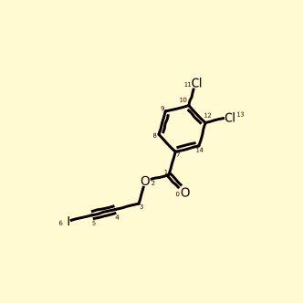 O=C(OCC#CI)c1ccc(Cl)c(Cl)c1